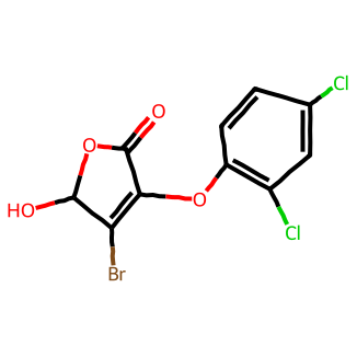 O=C1OC(O)C(Br)=C1Oc1ccc(Cl)cc1Cl